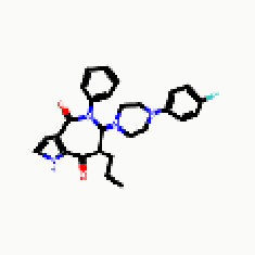 CCCC1C(=O)c2[nH]ccc2C(=O)N(c2ccccc2)C1N1CCN(c2ccc(F)cc2)CC1